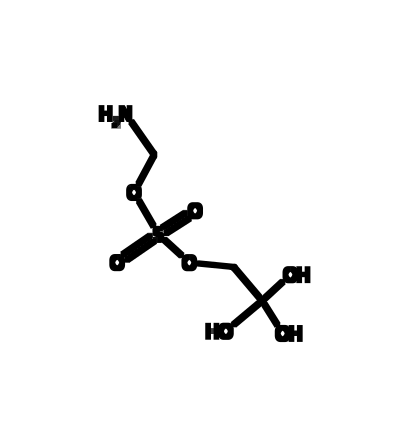 NCOS(=O)(=O)OCC(O)(O)O